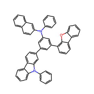 c1ccc(N(c2cc(-c3ccc4c5ccccc5n(-c5ccccc5)c4c3)cc(-c3cccc4c3oc3ccccc34)c2)c2ccc3ccccc3c2)cc1